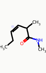 CC/C=C\C(C)C(=O)NC